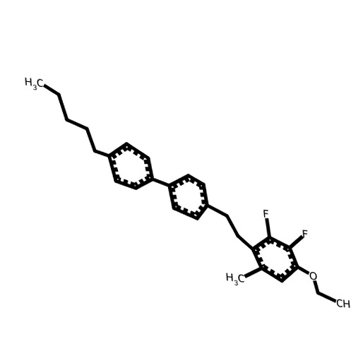 CCCCCc1ccc(-c2ccc(CCc3c(C)cc(OCC)c(F)c3F)cc2)cc1